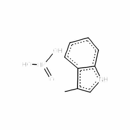 Cc1c[nH]c2ccccc12.O=[PH](O)O